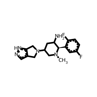 CN1CC(N2Cc3cn[nH]c3C2)CC(N)[C@H]1c1cc(F)ccc1F